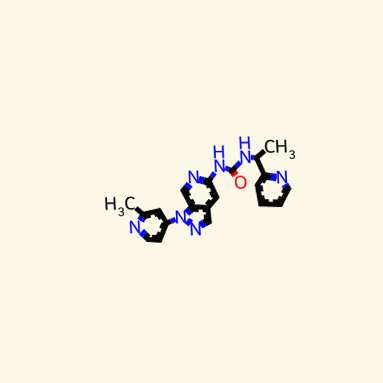 Cc1cc(-n2ncc3cc(NC(=O)NC(C)c4ccccn4)ncc32)ccn1